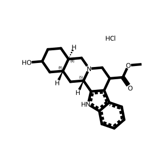 COC(=O)C1CN2C[C@@H]3CCC(O)C[C@H]3C[C@H]2c2[nH]c3ccccc3c21.Cl